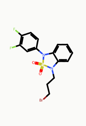 O=S1(=O)N(CCCBr)c2ccccc2N1c1ccc(F)c(F)c1